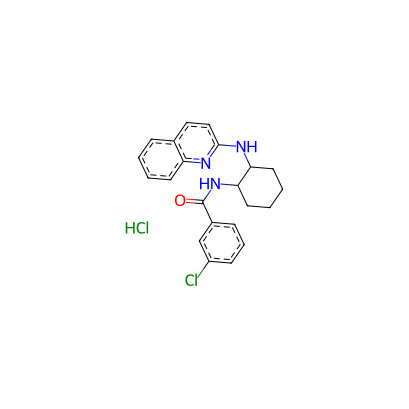 Cl.O=C(NC1CCCCC1Nc1ccc2ccccc2n1)c1cccc(Cl)c1